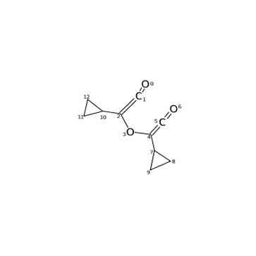 O=C=C(OC(=C=O)C1CC1)C1CC1